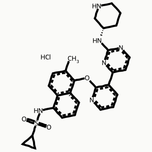 Cc1ccc2c(NS(=O)(=O)C3CC3)cccc2c1Oc1ncccc1-c1ccnc(N[C@H]2CCCNC2)n1.Cl